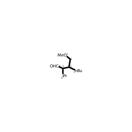 CCCCC(COC)C(C=O)C(C)C